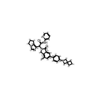 O=C(Nc1ccccn1)C(c1ncn2c1CCC2)N1Cc2c(F)cc(-c3ccc(N4CC5(CCC5)C4)cc3)cc2C1=O